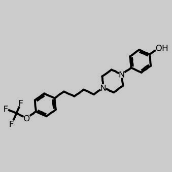 Oc1ccc(N2CCN(CCCCc3ccc(OC(F)(F)F)cc3)CC2)cc1